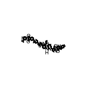 C=CC(=O)Nc1cc(Nc2nc(-c3ccnc(N4CCn5c(cc6c5CC(C)(C)C6)C4=O)c3CO)cn(C)c2=O)ccc1N1CCN(C2CCN(c3ccc4c(c3)C(=O)N(c3ccnc(C(C)C)c3)C4=O)[C@H](C)C2)C[C@@H]1C